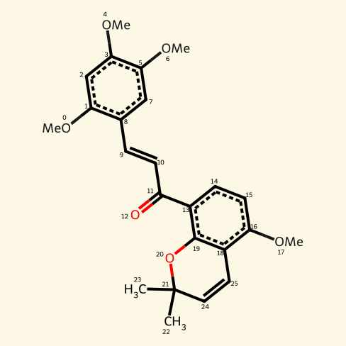 COc1cc(OC)c(OC)cc1C=CC(=O)c1ccc(OC)c2c1OC(C)(C)C=C2